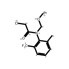 Cc1cccc(C(F)(F)F)c1N(COC(C)C)C(=O)CCl